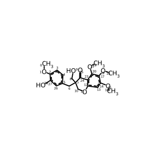 COc1ccc(CC2(CO)COc3cc(OC)c(OC)c(OC)c3C2=O)cc1O